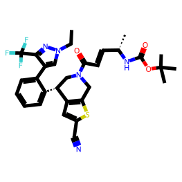 CCn1cc(-c2ccccc2[C@@H]2CN(C(=O)/C=C/[C@H](C)NC(=O)OC(C)(C)C)Cc3sc(C#N)cc32)c(C(F)(F)F)n1